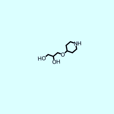 OCC(O)COC1CCNCC1